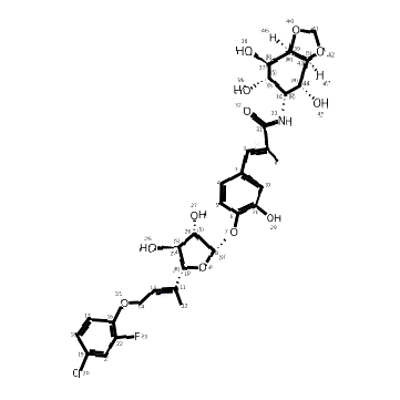 C/C(=C\c1ccc(O[C@@H]2O[C@H](/C(C)=C/COc3ccc(Cl)cc3F)[C@@H](O)[C@@H]2O)c(O)c1)C(=O)N[C@@H]1[C@H](O)[C@@H](O)[C@H]2OCO[C@H]2[C@@H]1O